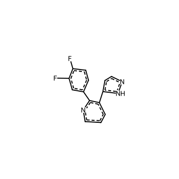 Fc1ccc(-c2ncccc2-c2ccn[nH]2)cc1F